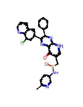 Cc1ccc(N[S+]([O-])Cc2c[nH]c3nc(-c4ccccc4)c(-c4cc(Cl)c5ncccc5c4)nc3c2=O)cn1